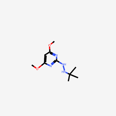 COc1cc(OC)nc(NNC(C)(C)C)n1